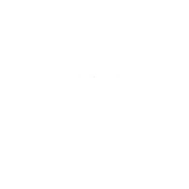 O=COc1ccccc1N1CCC(=O)CC1